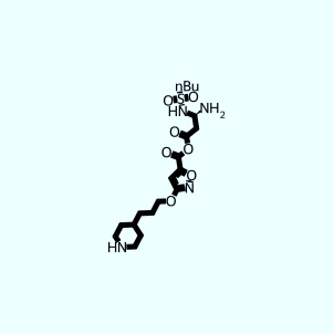 CCCCS(=O)(=O)N[C@H](N)CC(=O)OC(=O)c1cc(OCCCC2CCNCC2)no1